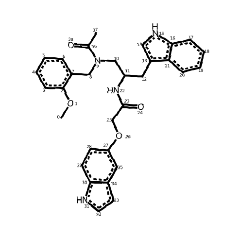 COc1ccccc1CN(CC(Cc1c[nH]c2ccccc12)NC(=O)COc1ccc2[nH]ccc2c1)C(C)=O